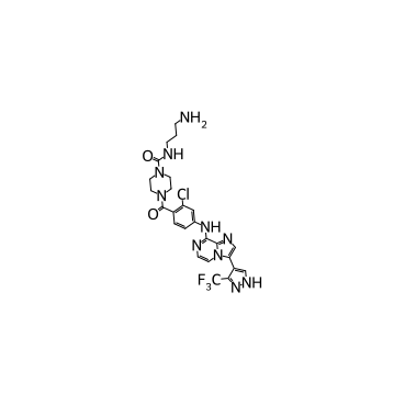 NCCCNC(=O)N1CCN(C(=O)c2ccc(Nc3nccn4c(-c5c[nH]nc5C(F)(F)F)cnc34)cc2Cl)CC1